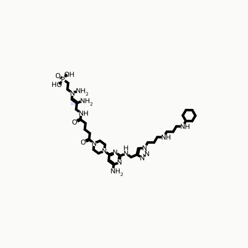 N/C(=C\N(N)CCP(=O)(O)O)CNC(=O)CCCC(=O)N1CCN(c2cc(N)nc(NCc3cn(CCCNCCCNC4CCCCC4)nn3)n2)CC1